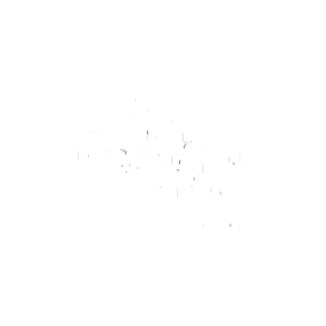 COC1(C)OCC(=O)[C@]2(CC[C@H]3[C@@H]4C[C@H](C)C5=CC(=O)CC[C@]5(C)[C@H]4CC[C@@]32C)O1